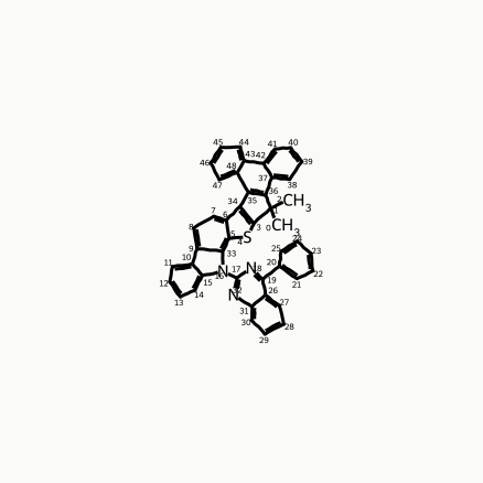 CC1(C)c2sc3c(ccc4c5ccccc5n(-c5nc(-c6ccccc6)c6ccccc6n5)c43)c2-c2c1c1ccccc1c1ccccc21